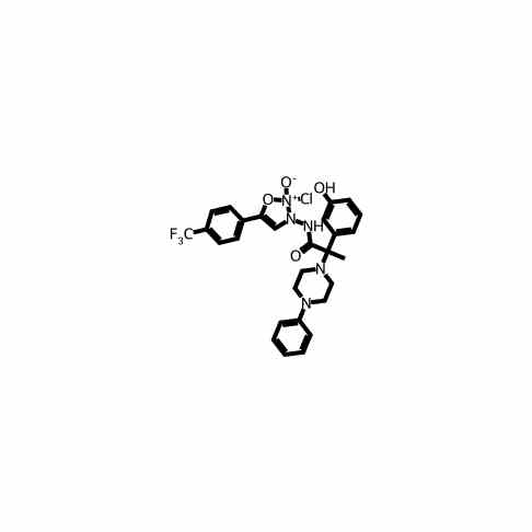 CC(C(=O)NN1C=C(c2ccc(C(F)(F)F)cc2)O[N+]1([O-])Cl)(c1cccc(O)c1)N1CCN(c2ccccc2)CC1